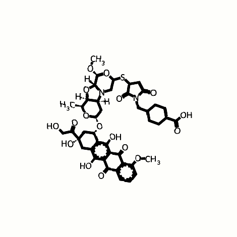 COc1cccc2c1C(=O)c1c(O)c3c(c(O)c1C2=O)C[C@@](O)(C(=O)CO)C[C@@H]3O[C@H]1C[C@H]2[C@H](O[C@@H]3[C@@H](OC)OC(SC4CC(=O)N(CC5CCC(C(=O)O)CC5)C4=O)CN32)[C@H](C)O1